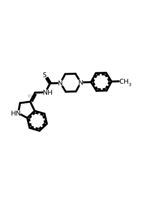 Cc1ccc(N2CCN(C(=S)N/C=C3/CNc4ccccc43)CC2)cc1